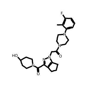 Cc1c(F)cccc1N1CCN(C(=O)Cn2nc(C(=O)N3CCC(O)CC3)c3c2CCC3)CC1